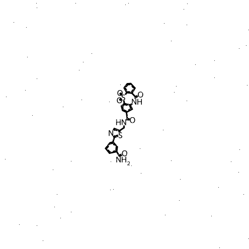 NC(=O)c1cccc(-c2ncc(CNC(=O)c3ccc4c(c3)NC(=O)c3ccccc3S4(=O)=O)s2)c1